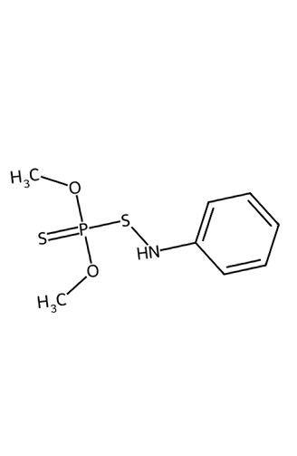 COP(=S)(OC)SNc1ccccc1